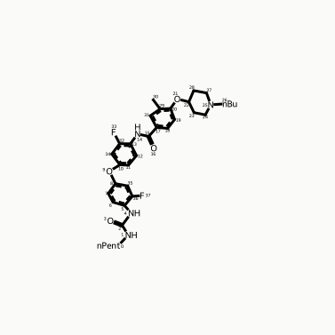 CCCCCNC(=O)Nc1ccc(Oc2ccc(NC(=O)c3ccc(OC4CCN(CCCC)CC4)c(C)c3)c(F)c2)cc1F